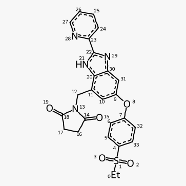 CCS(=O)(=O)c1ccc(Oc2cc(CN3C(=O)CCC3=O)c3[nH]c(-c4ccccn4)nc3c2)cc1